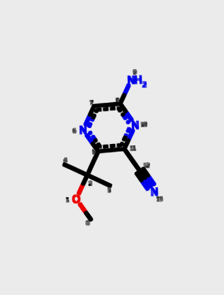 COC(C)(C)c1ncc(N)nc1C#N